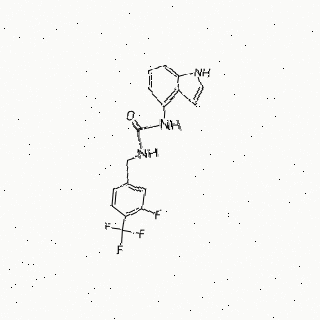 O=C(NCc1ccc(C(F)(F)F)c(F)c1)Nc1cccc2[nH]ccc12